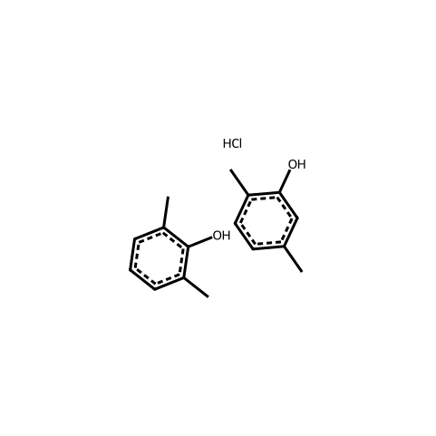 Cc1ccc(C)c(O)c1.Cc1cccc(C)c1O.Cl